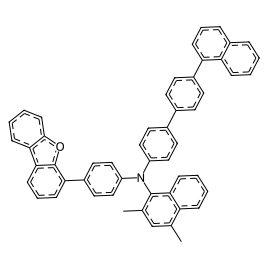 Cc1cc(C)c2ccccc2c1N(c1ccc(-c2ccc(-c3cccc4ccccc34)cc2)cc1)c1ccc(-c2cccc3c2oc2ccccc23)cc1